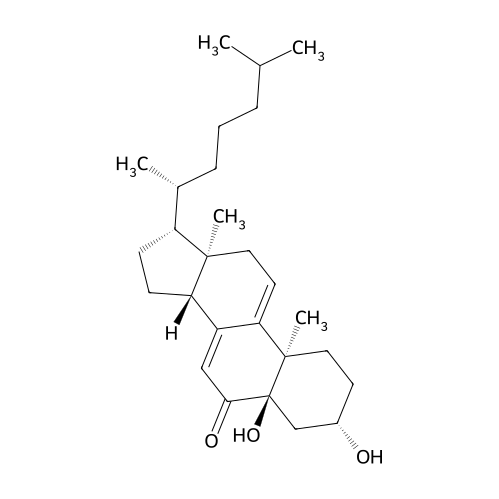 CC(C)CCC[C@@H](C)[C@H]1CC[C@H]2C3=CC(=O)[C@@]4(O)C[C@@H](O)CC[C@]4(C)C3=CC[C@]12C